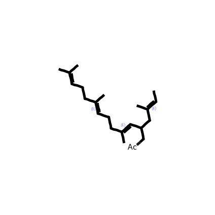 C/C=C(\C)CC(/C=C(\C)CC/C=C(\C)CCC=C(C)C)CC(C)=O